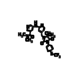 CN(C)C(=O)c1cncc(Nc2cc(CN3C(=O)N(c4ccc(SC(F)(F)F)cc4)C(=O)C3(C)C)ccn2)c1